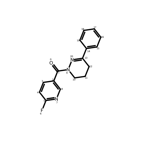 O=C(c1ccc(F)nc1)N1CCCC(c2ccccc2)=N1